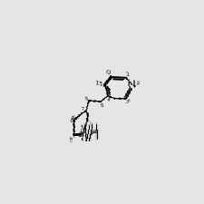 c1cncc(CC[C@@H]2CCN2)c1